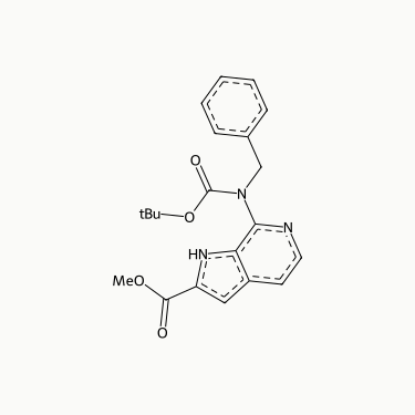 COC(=O)c1cc2ccnc(N(Cc3ccccc3)C(=O)OC(C)(C)C)c2[nH]1